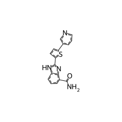 NC(=O)c1cccc2[nH]c(-c3ccc(-c4cccnc4)s3)nc12